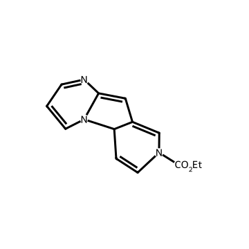 CCOC(=O)N1C=CC2C(=C1)C=C1N=CC=CN12